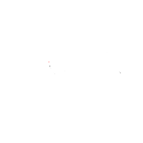 c1cc(-c2ccc(-c3cccc4ccccc34)cc2)cc(N(c2ccc(-c3ccccc3-n3c4ccccc4c4ccccc43)cc2)c2ccccc2-c2cccc3c2oc2ccccc23)c1